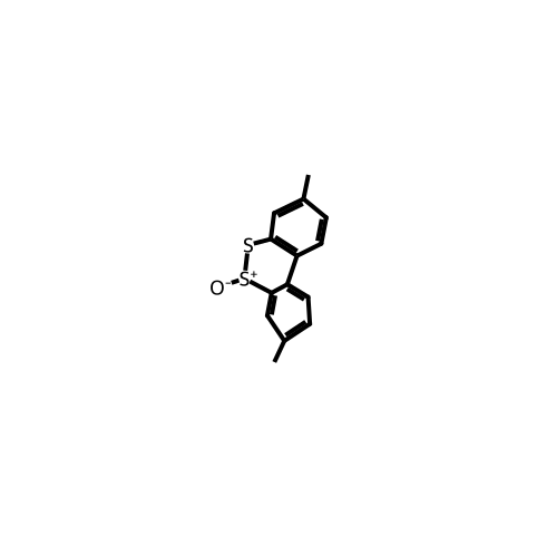 Cc1ccc2c(c1)S[S+]([O-])c1cc(C)ccc1-2